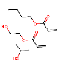 C=CC(=O)OCCCC.C=CC(=O)OCCO.CC(C)O